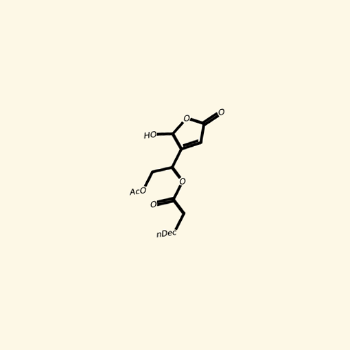 CCCCCCCCCCCC(=O)OC(COC(C)=O)C1=CC(=O)OC1O